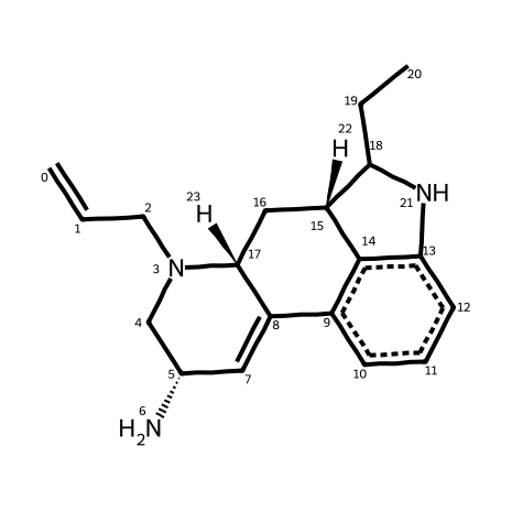 C=CCN1C[C@@H](N)C=C2c3cccc4c3[C@H](C[C@H]21)C(CC)N4